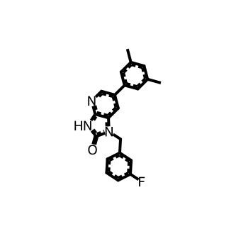 Cc1cc(C)cc(-c2cnc3[nH]c(=O)n(Cc4cccc(F)c4)c3c2)c1